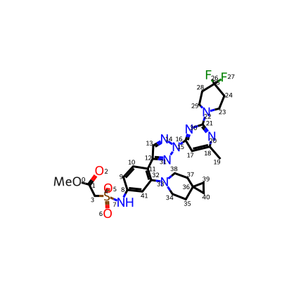 COC(=O)CS(=O)(=O)Nc1ccc(-c2cnn(-c3cc(C)nc(N4CCC(F)(F)CC4)n3)n2)c(N2CCC3(CC2)CC3)c1